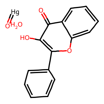 O.O=c1c(O)c(-c2ccccc2)oc2ccccc12.[O]=[Hg]